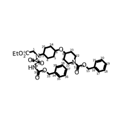 CCOC(=O)CN(C1CCC(OC2CCN(C(=O)OCc3ccccc3)CC2)CC1)S(=O)(=O)NC(=O)OCc1ccccc1